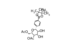 CC(=O)OC[C@H]1O[C@H](c2ccc(B3OC(C)(C)C(C)(C)O3)cc2)[C@@H](O)[C@@H](O)[C@H]1OC(C)=O